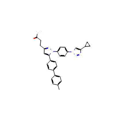 CNC(=O)CCc1cc(-c2ccc(-c3ccc(C)cc3)cc2)n(-c2ccc(-n3cc(C4CC4)nn3)cc2)n1